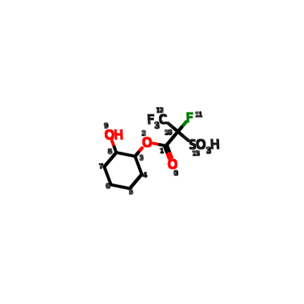 O=C(OC1CCCCC1O)C(F)(C(F)(F)F)S(=O)(=O)O